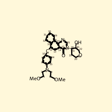 COCCN(CCOC)c1ccc(Cc2cc3c(=O)n([C@H]4CCOC[C@@H]4O)cnc3c3ccccc23)cc1